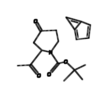 CC(=O)C1CC(=O)CCN1C(=O)OC(C)(C)C.c1cc2cc-2c1